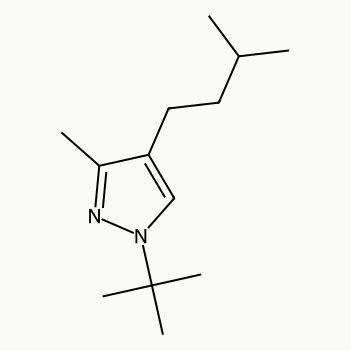 Cc1nn(C(C)(C)C)cc1CCC(C)C